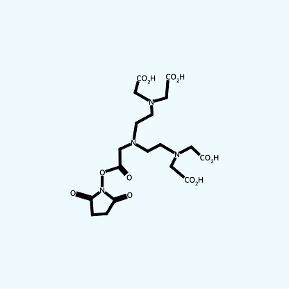 O=C(O)CN(CCN(CCN(CC(=O)O)CC(=O)O)CC(=O)ON1C(=O)CCC1=O)CC(=O)O